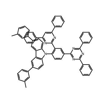 Cc1cccc(-c2ccc3c(c2)c2cc(-c4cccc(C)c4)ccc2n3-c2ccc(-c3nc(-c4ccccc4)nc(-c4ccccc4)n3)cc2-c2nc(-c3ccccc3)cc(-c3ccccc3)n2)c1